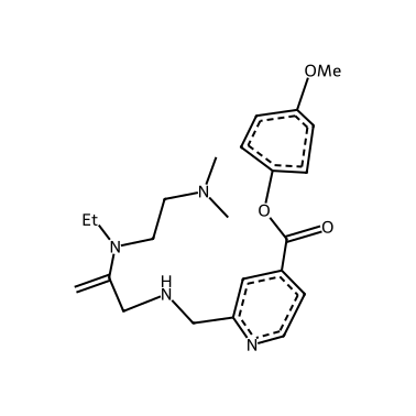 C=C(CNCc1cc(C(=O)Oc2ccc(OC)cc2)ccn1)N(CC)CCN(C)C